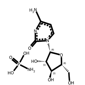 NP(=O)(O)O.Nc1ccn([C@@H]2O[C@H](CO)[C@@H](O)[C@@H]2O)c(=O)n1